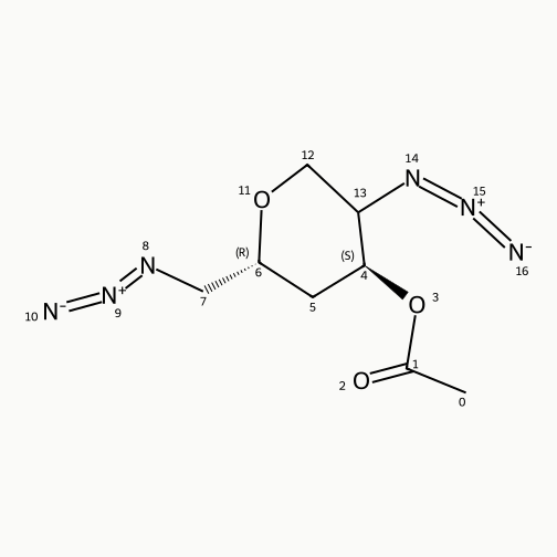 CC(=O)O[C@H]1C[C@H](CN=[N+]=[N-])OCC1N=[N+]=[N-]